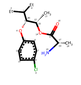 CCC(CC)[C@@H](Oc1ccc(Cl)cc1)[C@H](C)OC(=O)[C@H](C)N